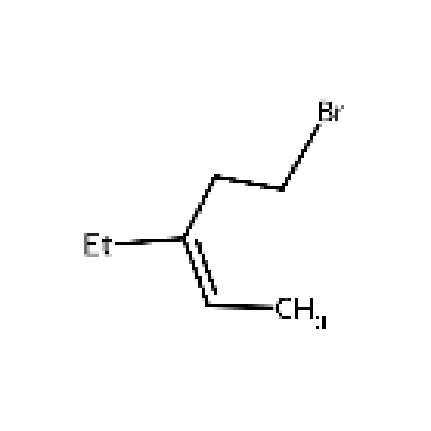 CC=C(CC)CCBr